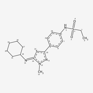 CCS(=O)(=O)Nc1ccc(-c2nn(C)c(=NC3CCCCC3)s2)cc1